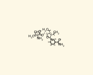 C=C[C@@H]1[C@H](C=C)[C@@H](COC(=O)[C@@H](N)C(C)C)O[C@H]1[n+]1cccc(C(N)=O)c1